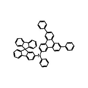 c1ccc(-c2ccc3c(c2)c2ccc(-c4ccccc4)cc2c2ccc(N(c4ccccc4)c4ccc5c(c4)C4(c6ccccc6-c6ccccc64)c4ccccc4-5)cc32)cc1